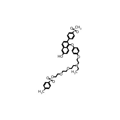 CCN(CCOCCOCCOS(=O)(=O)c1ccc(C)cc1)CCOc1ccc(Oc2c(-c3ccc(S(C)(=O)=O)cc3)ccc3cc(O)ccc23)cc1